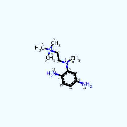 CN(CC[N+](C)(C)C)c1cc(N)ccc1N